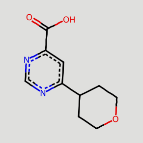 O=C(O)c1cc(C2CCOCC2)ncn1